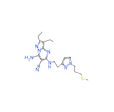 CCc1nn2c(N)c(C#N)c(NCCc3ccn(CCCSC)n3)nc2c1CC